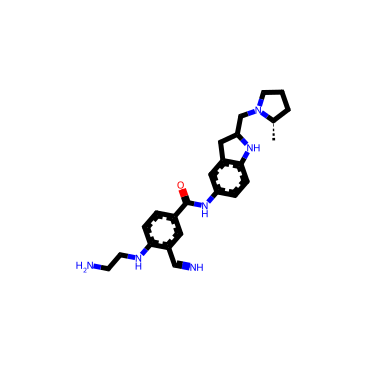 C[C@H]1CCCN1CC1Cc2cc(NC(=O)c3ccc(NCCN)c(C=N)c3)ccc2N1